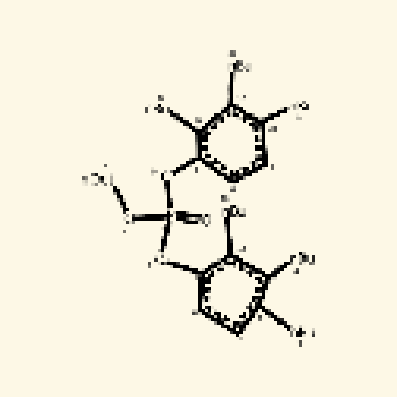 CCCCCCCCOP(=O)(Oc1ccc(CCCC)c(CCCC)c1CCCC)Oc1ccc(CCCC)c(CCCC)c1CCCC